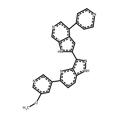 COc1cncc(-c2ccc3[nH]nc(-c4cc5c(-c6ccncc6)cncc5[nH]4)c3n2)c1